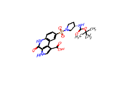 CC(C)(C)OC(=O)N[C@H]1CCN(S(=O)(=O)c2ccc3[nH]c(=O)c4[nH]cc(C(=O)O)c4c3c2)C1